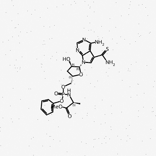 COC(=O)[C@H](C)NP(=O)(OC[C@@H]1C[C@@H](O)[C@H](n2cc(C(N)=S)c3c(N)ncnc32)O1)Oc1ccccc1